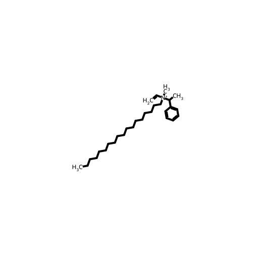 C=C[N+](C)(CCCCCCCCCCCCCCCCCC)C(C)c1ccccc1